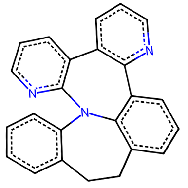 c1ccc2c(c1)CCc1cccc3c1N2c1ncccc1-c1cccnc1-3